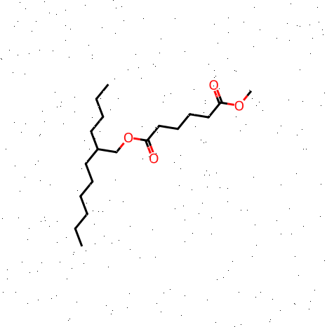 CCCCCCC(CCCC)COC(=O)CCCCC(=O)OC